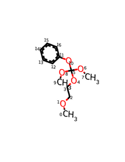 COCCOC(OC)(OC)Oc1cc[c]cc1